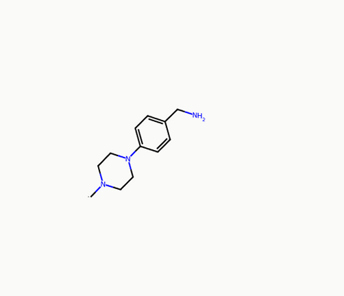 [CH2]N1CCN(c2ccc(CN)cc2)CC1